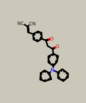 N#CC(C#N)=Cc1ccc(C(=O)CC(=O)c2ccc(N(c3ccccc3)c3ccccc3)cc2)cc1